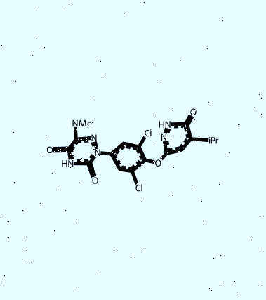 CNc1nn(-c2cc(Cl)c(Oc3cc(C(C)C)c(=O)[nH]n3)c(Cl)c2)c(=O)[nH]c1=O